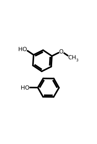 COc1cccc(O)c1.Oc1ccccc1